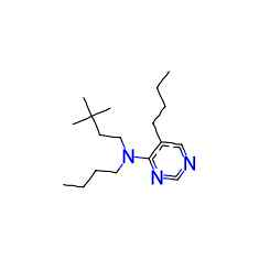 CCCCc1cncnc1N(CCCC)CCC(C)(C)C